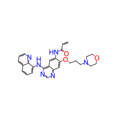 C=CC(=O)Nc1cc2c(Nc3cccc4cccnc34)ncnc2cc1OCCCN1CCOCC1